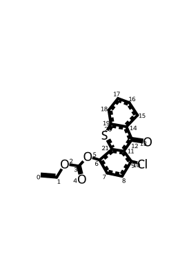 C=COC(=O)Oc1ccc(Cl)c2c(=O)c3ccccc3sc12